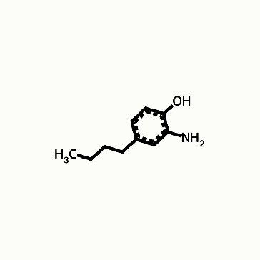 CCCCc1ccc(O)c(N)c1